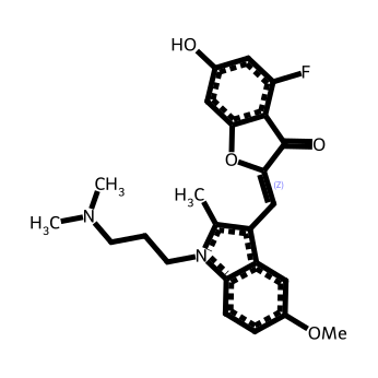 COc1ccc2c(c1)c(/C=C1\Oc3cc(O)cc(F)c3C1=O)c(C)n2CCCN(C)C